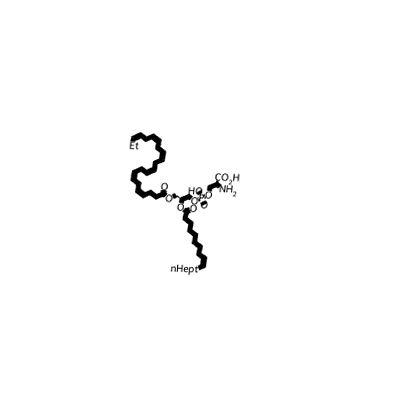 CC/C=C\C/C=C\C/C=C\C/C=C\C/C=C\C/C=C\CCC(=O)OC[C@H](COP(=O)(O)OC[C@H](N)C(=O)O)OC(=O)CCCCCCC/C=C\CCCCCCC